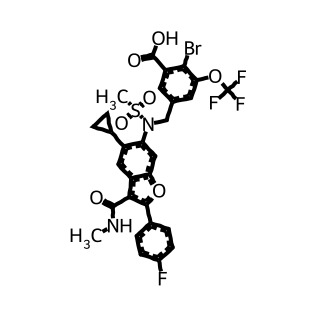 CNC(=O)c1c(-c2ccc(F)cc2)oc2cc(N(Cc3cc(OC(F)(F)F)c(Br)c(C(=O)O)c3)S(C)(=O)=O)c(C3CC3)cc12